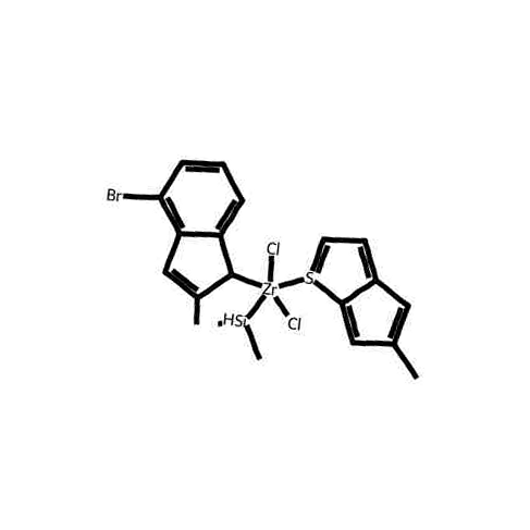 CC1=CC2=CC=[S]([Zr]([Cl])([Cl])([CH]3C(C)=Cc4c(Br)cccc43)[SiH](C)C)C2=C1